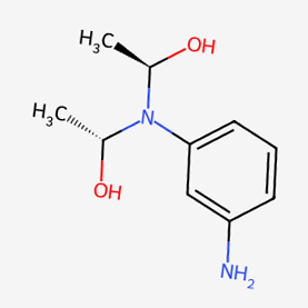 C[C@@H](O)N(c1cccc(N)c1)[C@@H](C)O